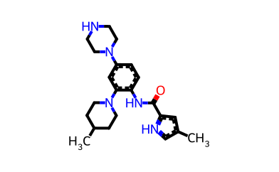 Cc1c[nH]c(C(=O)Nc2ccc(N3CCNCC3)cc2N2CCC(C)CC2)c1